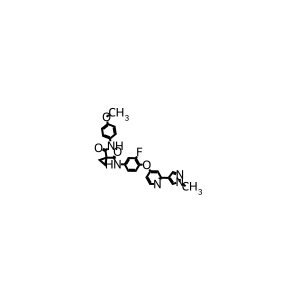 COc1ccc(NC(=O)C2(C(=O)Nc3ccc(Oc4ccnc(-c5cnn(C)c5)c4)c(F)c3)CC2)cc1